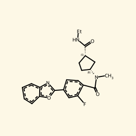 CCNC(=O)[C@H]1CC[C@@H](N(C)C(=O)c2ccc(-c3nc4ccccc4o3)cc2F)C1